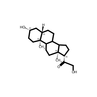 C[C@]12CCC3C(CC[C@H]4C[C@@H](O)CC[C@]34C)C1CC[C@@H]2C(=O)CO